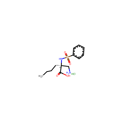 CCCC[C@@](CN)(NS(=O)(=O)c1ccccc1)C(=O)O.Cl